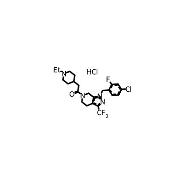 CCN1CCC(CC(=O)N2CCc3c(C(F)(F)F)nn(Cc4ccc(Cl)cc4F)c3C2)CC1.Cl